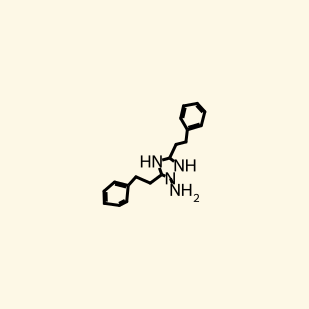 NN1NC(CCc2ccccc2)NC1CCc1ccccc1